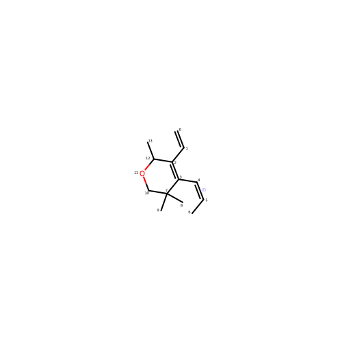 C=CC1=C(/C=C\C)C(C)(C)COC1C